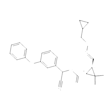 CC1(C)[C@H](C=NOCC2CC2)[C@H]1C(=O)OC(C#N)c1cccc(Oc2ccccc2)c1